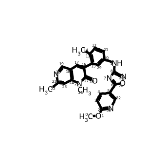 COc1ccc(-c2nc(Nc3ccc(C)c(-c4cc5cnc(C)cc5n(C)c4=O)c3)no2)cn1